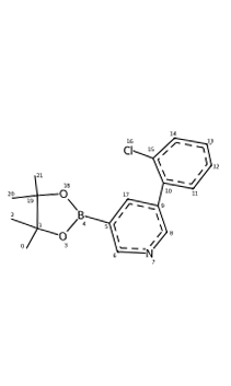 CC1(C)OB(c2cncc(-c3cc[c]cc3Cl)c2)OC1(C)C